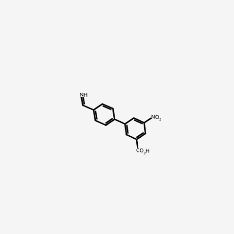 N=Cc1ccc(-c2cc(C(=O)O)cc([N+](=O)[O-])c2)cc1